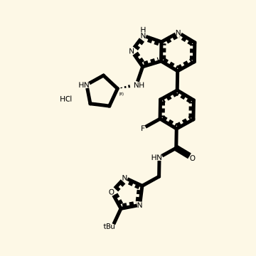 CC(C)(C)c1nc(CNC(=O)c2ccc(-c3ccnc4[nH]nc(N[C@@H]5CCNC5)c34)cc2F)no1.Cl